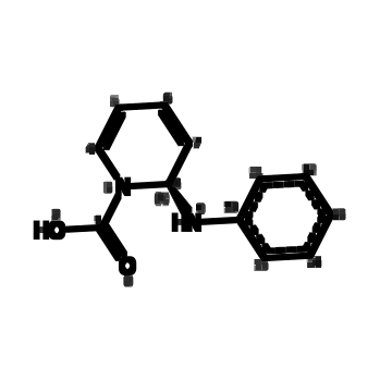 O=C(O)N1C=CC=C[C@H]1Nc1ccccc1